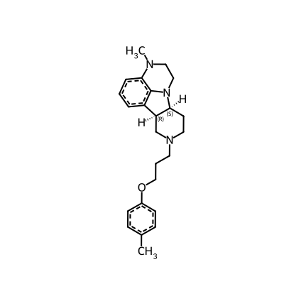 Cc1ccc(OCCCN2CC[C@H]3[C@@H](C2)c2cccc4c2N3CCN4C)cc1